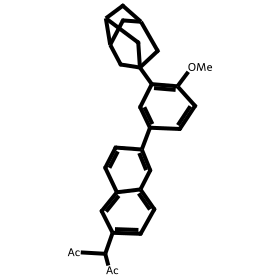 COc1ccc(-c2ccc3cc(C(C(C)=O)C(C)=O)ccc3c2)cc1C12CC3CC(C1)C(C3)C2